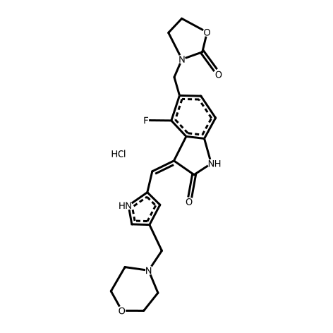 Cl.O=C1Nc2ccc(CN3CCOC3=O)c(F)c2C1=Cc1cc(CN2CCOCC2)c[nH]1